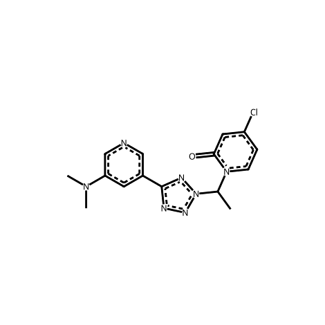 CC(n1nnc(-c2cncc(N(C)C)c2)n1)n1ccc(Cl)cc1=O